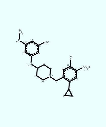 O=C(O)c1cc(C2CC2)c(CN2CCC(Oc3cc(Cl)cc(OC(F)(F)F)c3)CC2)cc1F